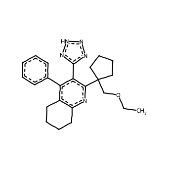 CCOCC1(c2nc3c(c(-c4ccccc4)c2-c2nn[nH]n2)CCCC3)CCCC1